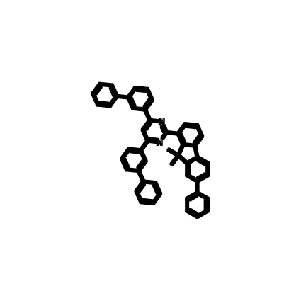 CC1(C)c2cc(-c3ccccc3)ccc2-c2cccc(-c3nc(-c4cccc(-c5ccccc5)c4)cc(-c4cccc(-c5ccccc5)c4)n3)c21